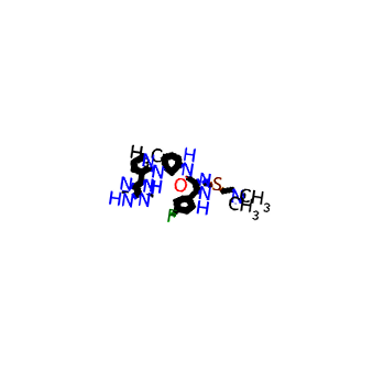 Cc1ccc(NC(=O)c2nc(SCCN(C)C)[nH]c2-c2ccc(F)cc2)cc1Nc1ncccc1-c1ncnc2[nH]cnc12